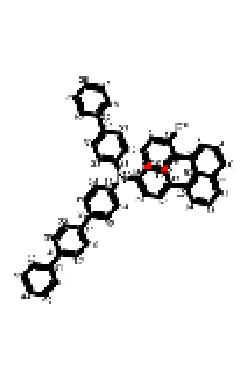 Fc1ccccc1-c1cccc2cccc(-c3ccc(N(c4ccc(-c5ccccc5)cc4)c4ccc(-c5ccc(-c6ccccc6)cc5)cc4)cc3)c12